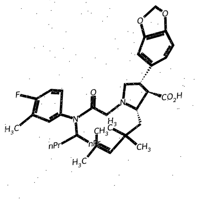 CCCC(CCC)N(C(=O)CN1C[C@H](c2ccc3c(c2)OCO3)[C@@H](C(=O)O)[C@@H]1CC(C)(C)C=C(C)C)c1ccc(F)c(C)c1